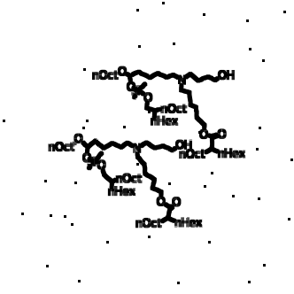 CCCCCCCCOC(CCCCCN(CCCCO)CCCCCCOC(=O)C(CCCCCC)CCCCCCCC)O[Si](C)(C)OCC(CCCCCC)CCCCCCCC.CCCCCCCCOC(CCCCCN(CCCCO)CCCCCCOC(=O)C(CCCCCC)CCCCCCCC)O[Si](C)(C)OCC(CCCCCC)CCCCCCCC